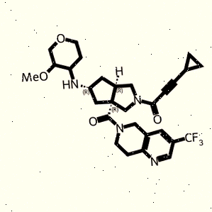 COC1COCCC1N[C@@H]1C[C@H]2CN(C(=O)C#CC3CC3)C[C@@]2(C(=O)N2CCc3ncc(C(F)(F)F)cc3C2)C1